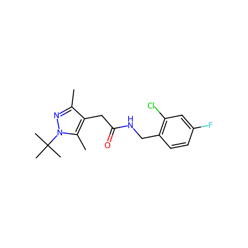 Cc1nn(C(C)(C)C)c(C)c1CC(=O)NCc1ccc(F)cc1Cl